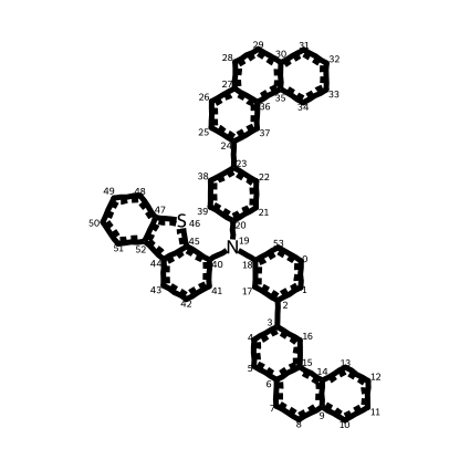 c1cc(-c2ccc3ccc4ccccc4c3c2)cc(N(c2ccc(-c3ccc4ccc5ccccc5c4c3)cc2)c2cccc3c2sc2ccccc23)c1